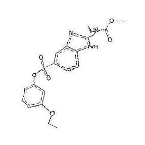 CCOc1cccc(OS(=O)(=O)c2ccc3[nH]c(NC(=O)OC)nc3c2)c1